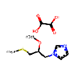 CCCCCCCCOC(CSCCCCCCC)Cn1ccnc1.O=C(O)C(=O)O